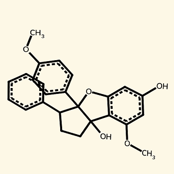 COc1ccc(C23Oc4cc(O)cc(OC)c4C2(O)CCC3c2ccccc2)cc1